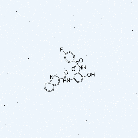 O=C(Nc1ccc(O)c(NS(=O)(=O)c2ccc(F)cc2)c1)c1cnc2ccccc2c1